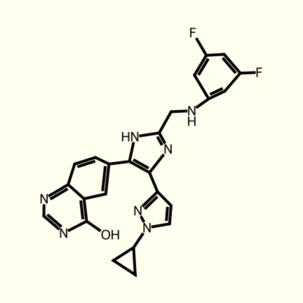 Oc1ncnc2ccc(-c3[nH]c(CNc4cc(F)cc(F)c4)nc3-c3ccn(C4CC4)n3)cc12